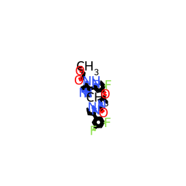 COCC(=O)Nc1cnn(C)c1-c1cc(OC2CN(C(=O)N3N=CCC3c3cc(F)cc(F)c3)C2)c(F)cn1